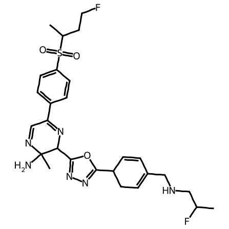 CC(F)CNCC1=CCC(c2nnc(C3N=C(c4ccc(S(=O)(=O)C(C)CCF)cc4)C=NC3(C)N)o2)C=C1